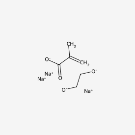 C=C(C)C(=O)[O-].[Na+].[Na+].[Na+].[O-]CC[O-]